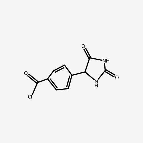 O=C1NC(=O)C(c2ccc(C(=O)Cl)cc2)N1